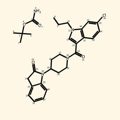 CC(C)(C)OC(N)=O.CCCn1cc(C(=O)N2CCC(N3C(=O)Cc4ccccc43)CC2)c2ccc(Cl)cc21